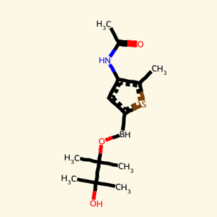 CC(=O)Nc1cc(BOC(C)(C)C(C)(C)O)sc1C